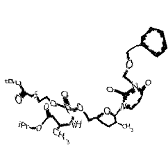 CC(C)OC(=O)[C@H](C)NP(=O)(OCCSC(=O)C(C)(C)C)OC[C@@H]1C[C@H](C)[C@H](n2ccc(=O)n(COCc3ccccc3)c2=O)O1